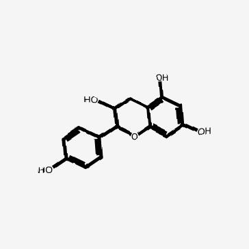 Oc1ccc(C2Oc3cc(O)cc(O)c3CC2O)cc1